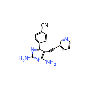 N#Cc1ccc(-c2nc(N)nc(N)c2C#Cc2cccnc2)cc1